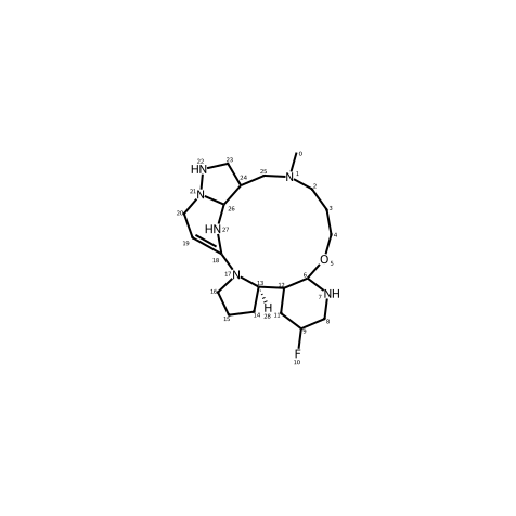 CN1CCCOC2NCC(F)CC2[C@H]2CCCN2C2=CCN3NCC(C1)C3N2